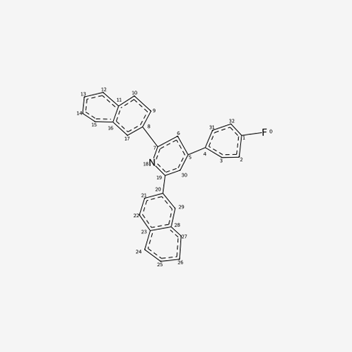 Fc1ccc(-c2cc(-c3ccc4ccccc4c3)nc(-c3ccc4ccccc4c3)c2)cc1